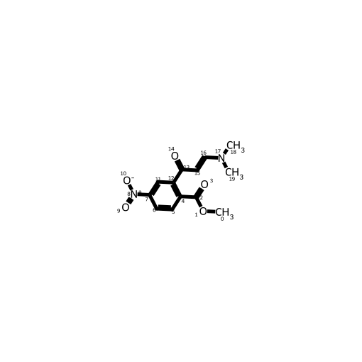 COC(=O)c1ccc([N+](=O)[O-])cc1C(=O)/C=C/N(C)C